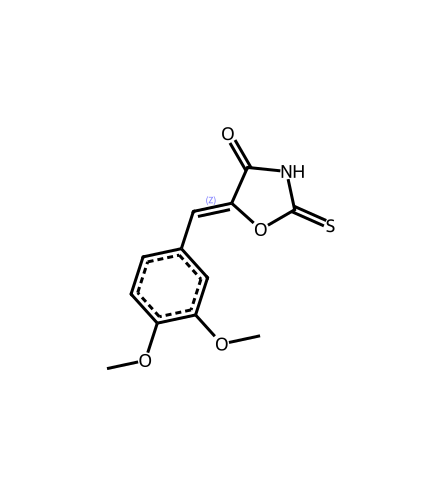 COc1ccc(/C=C2\OC(=S)NC2=O)cc1OC